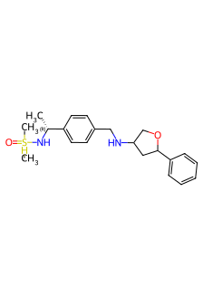 C[C@@H](N[SH](C)(C)=O)c1ccc(CNC2COC(c3ccccc3)C2)cc1